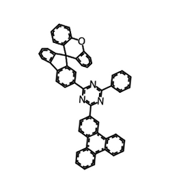 c1ccc(-c2nc(-c3ccc4c(c3)C3(c5ccccc5Oc5ccccc53)c3ccccc3-4)nc(-c3ccc4c5ccccc5c5ccccc5c4c3)n2)cc1